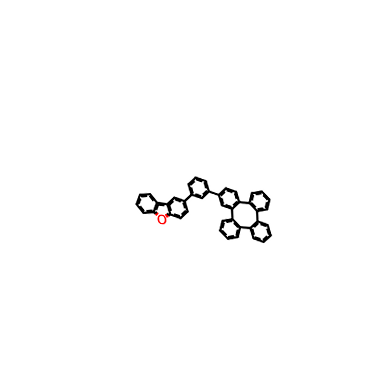 c1cc(-c2ccc3c(c2)-c2ccccc2-c2ccccc2-c2ccccc2-3)cc(-c2ccc3oc4ccccc4c3c2)c1